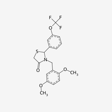 COc1ccc(OC)c(CN2C(=O)CSC2c2cccc(OC(F)(F)F)c2)c1